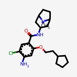 CN1C2CCC1CC(NC(=O)c1cc(Cl)c(N)cc1OCCC1CCCC1)C2